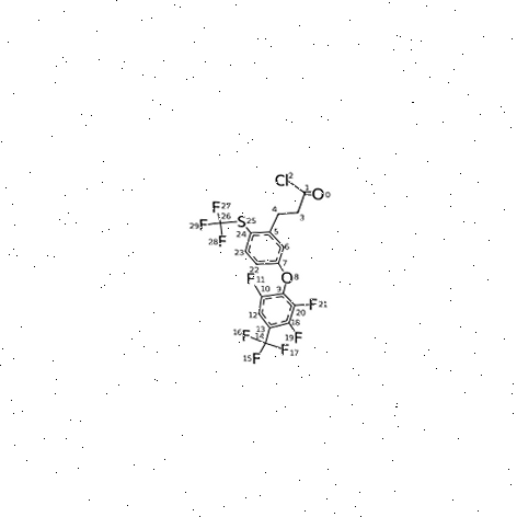 O=C(Cl)CCc1cc(Oc2c(F)cc(C(F)(F)F)c(F)c2F)ccc1SC(F)(F)F